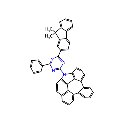 CC1(C)c2ccccc2-c2ccc(-c3nc(-c4ccccc4)nc(-n4c5cccc6c5c5c7c(cccc7ccc54)-c4ccccc4-6)n3)cc21